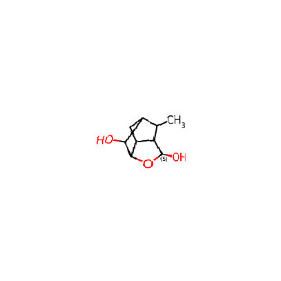 CC1C2CC3C(O[C@H](O)C13)C2O